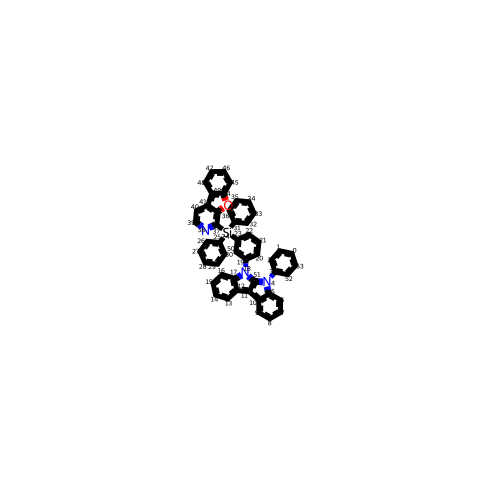 c1ccc(-n2c3ccccc3c3c4ccccc4n(-c4cccc([Si](c5ccccc5)(c5ccccc5)c5nccc6c5oc5ccccc56)c4)c32)cc1